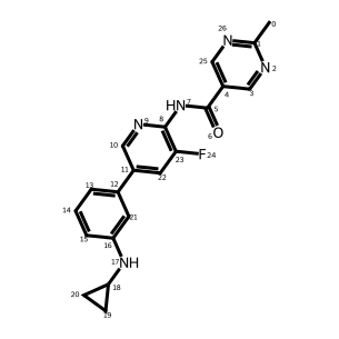 Cc1ncc(C(=O)Nc2ncc(-c3cccc(NC4CC4)c3)cc2F)cn1